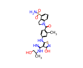 Cc1cc(Nc2snc(O)c2C(=N)NC(C)CO)ccc1C(=O)N1CCc2c1cccc2S(N)(=O)=O